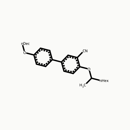 CCCCCCCCCCOc1ccc(-c2ccc(OC(C)CCCCCC)c(C#N)c2)cc1